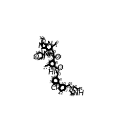 CCc1nc2c(cnn2CC)c(NC2CCOCC2)c1CNC(=O)c1cc(C)cc(C(=O)NCc2ccc(Cl)c(-c3cccc(CN4CCN[C@H](C)C4)c3)c2)c1